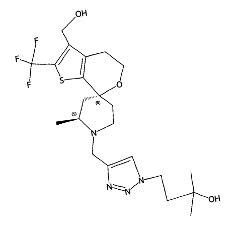 C[C@H]1C[C@@]2(CCN1Cc1cn(CCC(C)(C)O)nn1)OCCc1c2sc(C(F)(F)F)c1CO